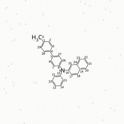 Cc1ccc(-c2ccc(N(c3ccccc3)c3ccc4ccccc4c3)cc2)cc1